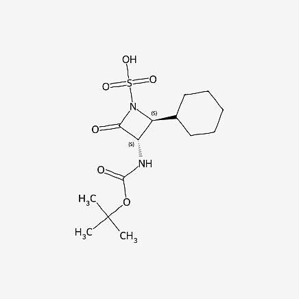 CC(C)(C)OC(=O)N[C@@H]1C(=O)N(S(=O)(=O)O)[C@H]1C1CCCCC1